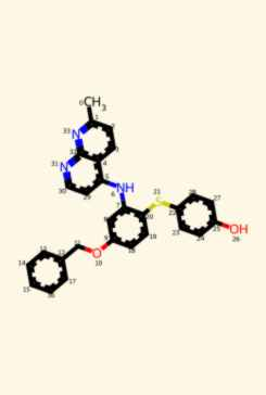 Cc1ccc2c(Nc3cc(OCc4ccccc4)ccc3Sc3ccc(O)cc3)ccnc2n1